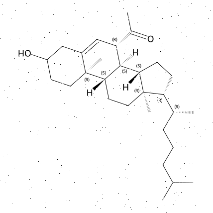 CC(=O)[C@H]1C=C2CC(O)CC[C@]2(C)[C@H]2CC[C@]3(C)[C@@H]([C@H](C)CCCC(C)C)CC[C@H]3[C@H]12